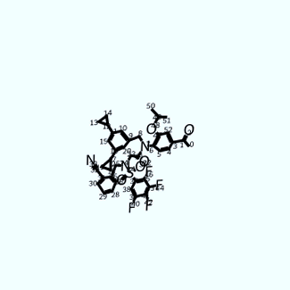 CC(=O)c1ccc(N(Cc2cc(C3CC3)cc(C3CC3)c2)C(=O)CN(Cc2ccccc2C#N)S(=O)(=O)c2cc(F)c(F)c(F)c2F)c(OC(C)C)c1